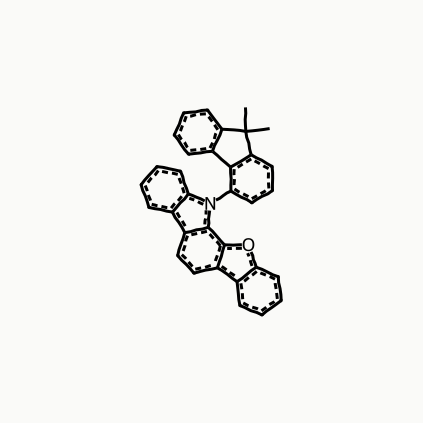 CC1(C)c2ccccc2-c2c(-n3c4ccccc4c4ccc5c6ccccc6oc5c43)cccc21